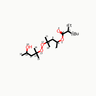 CCCCC(CC)C(=O)OC(C)CC(C)(C)OOC(C)(C)CC(C)O